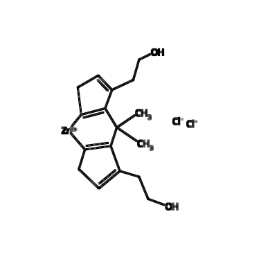 CC1(C)C2=[C](CC=C2CCO)[Zr+2][C]2=C1C(CCO)=CC2.[Cl-].[Cl-]